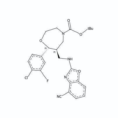 CC(C)(C)OC(=O)N1CCO[C@@H](c2ccc(Cl)c(F)c2)[C@H](CNc2nc3c(C#N)cccc3o2)C1